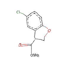 COC(=O)C1COc2ccc(Cl)cc21